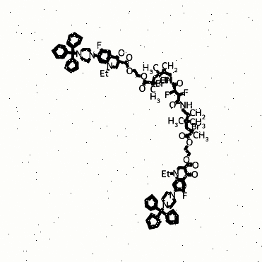 C=C(CNC(=O)C(F)C(F)C(=O)NCC(=C)C(C)(C)CC(C)(Br)C(=O)OCCOC(=O)C1CN(CC)c2cc(N3CCN(C(c4ccccc4)(c4ccccc4)c4ccccc4)CC3)c(F)cc2C1=O)C(C)(C)CC(C)(Br)C(=O)OCCOC(=O)C1CN(CC)c2cc(N3CCN(C(c4ccccc4)(c4ccccc4)c4ccccc4)CC3)c(F)cc2C1=O